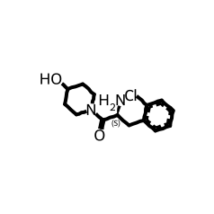 N[C@@H](Cc1ccccc1Cl)C(=O)N1CCC(O)CC1